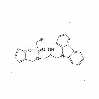 CC(C)CS(=O)(=O)N(Cc1ccco1)CC(O)Cn1c2ccccc2c2ccccc21